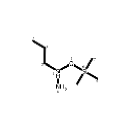 CCC[SiH](N)O[Si](C)(C)C